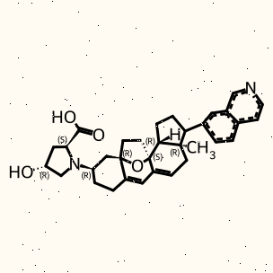 C[C@]12CC=C3C=C4CC[C@@H](N5C[C@H](O)C[C@H]5C(=O)O)C[C@]45CC[C@]3(O5)[C@@H]1CCC2c1ccc2ccncc2c1